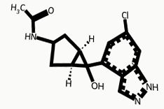 CC(=O)NC1C[C@@H]2[C@H](C1)C2(O)c1cc(Cl)cc2[nH]ncc12